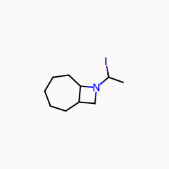 CC(I)N1CC2CCCCCC21